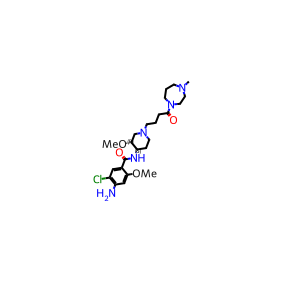 COc1cc(N)c(Cl)cc1C(=O)N[C@H]1CCN(CCCC(=O)N2CCCN(C)CC2)C[C@H]1OC